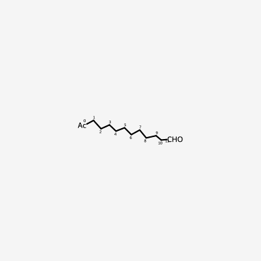 CC(=O)CCCCCCCCCCC=O